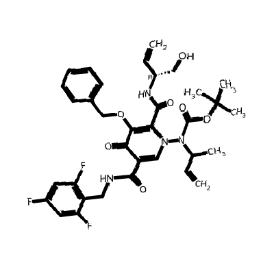 C=CC(C)N(C(=O)OC(C)(C)C)n1cc(C(=O)NCc2c(F)cc(F)cc2F)c(=O)c(OCc2ccccc2)c1C(=O)N[C@H](C=C)CO